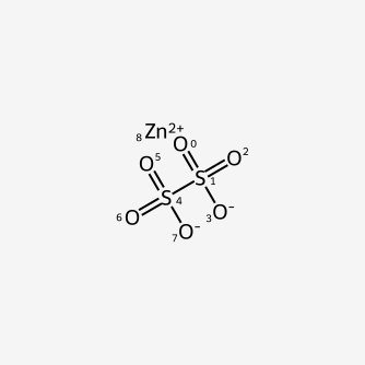 O=S(=O)([O-])S(=O)(=O)[O-].[Zn+2]